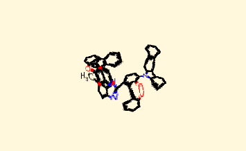 CC1C/C=C(c2ccc3c(c2)oc2ccccc23)/N=C(c2ccc(-n3c4ccccc4c4cc5ccccc5cc43)c3oc4ccccc4c23)\N=C/1c1cccc2ccccc12